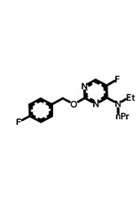 CCCN(CC)c1nc(OCc2ccc(F)cc2)ncc1F